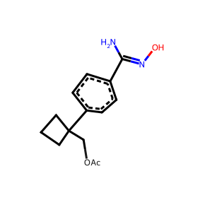 CC(=O)OCC1(c2ccc(/C(N)=N/O)cc2)CCC1